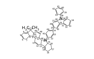 CC1(C)C2=CC=CCC2C2C3C=CC4C5=CCCCC5N(c5ccc(-c6ccc7c(c6)c6ccccc6n7-c6ccccc6)cc5)C4C3C=CC21